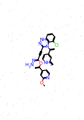 C=C/C=C(\C=C/N)C(=C)N(/C(C#C/C(=N/N)OC(=C)c1ccnc(OC)c1)=N\N)c1ccccc1Cl